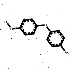 CCOc1ccc(Oc2ccc(C(C)=O)cc2)cc1